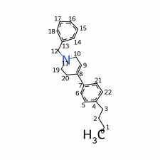 CCCCc1ccc(C2=CCN(Cc3ccccc3)CC2)cc1